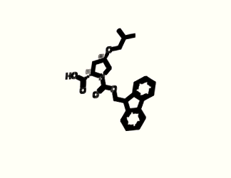 CC(C)CO[C@@H]1C[C@@H](C(=O)O)N(C(=O)OCC2c3ccccc3-c3ccccc32)C1